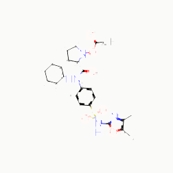 Cc1nc(NS(=O)(=O)c2ccc(NC(=O)[C@@H]3[C@H](C4CCCCC4)CCN3OC(=O)C(F)(F)F)cc2)oc1C